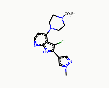 CCOC(=O)N1CCN(c2ccnc3[nH]c(-c4cnn(C)c4)c(Cl)c23)CC1